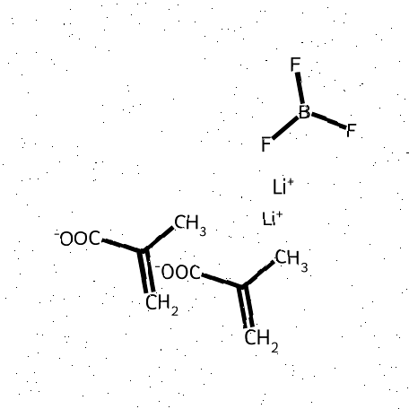 C=C(C)C(=O)[O-].C=C(C)C(=O)[O-].FB(F)F.[Li+].[Li+]